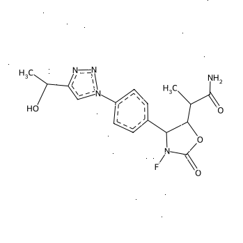 CC(O)c1cn(-c2ccc(C3C(C(C)C(N)=O)OC(=O)N3F)cc2)nn1